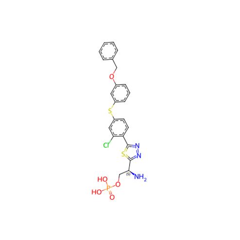 N[C@@H](COP(=O)(O)O)c1nnc(-c2ccc(Sc3cccc(OCc4ccccc4)c3)cc2Cl)s1